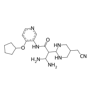 N#CCC1CNC(C(C(=O)Nc2cnccc2OC2CCCC2)C(N)N)NC1